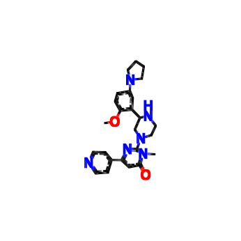 COc1ccc(N2CCCC2)cc1C1CN(c2nc(-c3ccncc3)cc(=O)n2C)CCN1